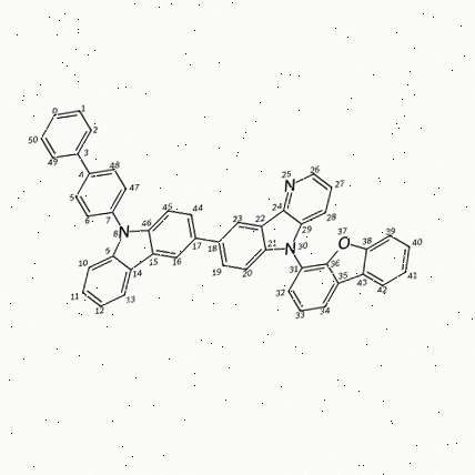 c1ccc(-c2ccc(-n3c4ccccc4c4cc(-c5ccc6c(c5)c5ncccc5n6-c5cccc6c5oc5ccccc56)ccc43)cc2)cc1